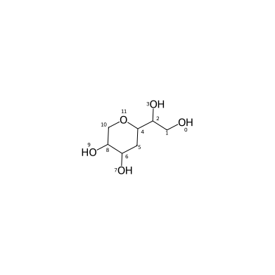 OCC(O)C1CC(O)C(O)CO1